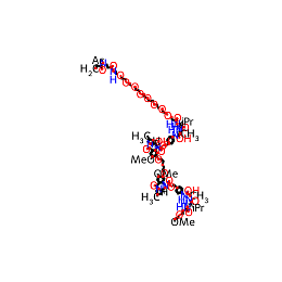 C=CC(=O)N(CCC(=O)NCCOCCOCCOCCOCCOCCOCCOCCOCCC(=O)N[C@H](C(=O)N[C@@H](C)C(O)Nc1ccc(COC(=O)N2c3cc(OCCCCCOc4cc5c(cc4OC)C(=O)N4C=C(C)C[C@H]4CN5C(=O)OCc4ccc(NC(O)C(C)NC(=O)[C@@H](NC(=O)CCOCCOC)C(C)C)cc4)c(OC)cc3C(=O)N3C=C(C)C[C@H]3[C@@H]2O)cc1)C(C)C)C(C)=O